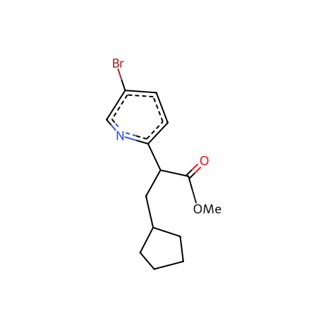 COC(=O)C(CC1CCCC1)c1ccc(Br)cn1